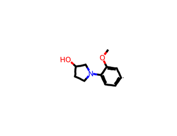 COc1c[c]ccc1N1CCC(O)C1